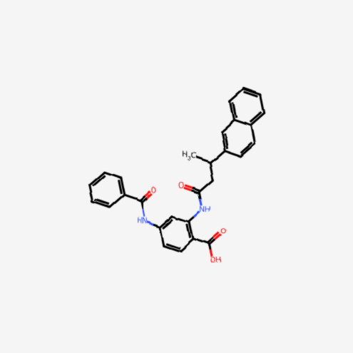 CC(CC(=O)Nc1cc(NC(=O)c2ccccc2)ccc1C(=O)O)c1ccc2ccccc2c1